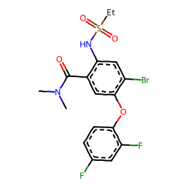 CCS(=O)(=O)Nc1cc(Br)c(Oc2ccc(F)cc2F)cc1C(=O)N(C)C